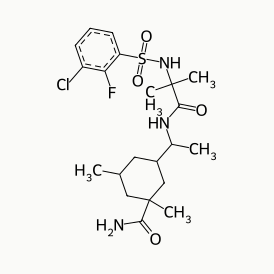 CC1CC(C(C)NC(=O)C(C)(C)NS(=O)(=O)c2cccc(Cl)c2F)CC(C)(C(N)=O)C1